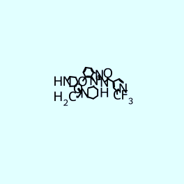 C=CC(=O)N1CCCCC(n2c(NC(=O)c3ccnc(C(F)(F)F)c3)nc3cccc(OC4CCNCC4)c32)C1